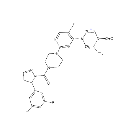 CN(/N=C\N(C=O)CC(F)(F)F)c1nc(N2CCN(C(=O)N3N=CCC3c3cc(F)cc(F)c3)CC2)ncc1F